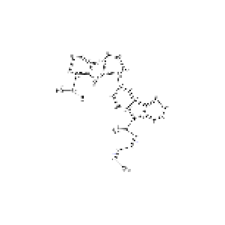 C=C(/C=C\C=C/C)n1c2ccccc2c2cc(-c3cccc4c3oc3c(B(O)O)cccc34)ccc21